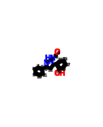 O=CNN1N=C(c2ccccc2)CC1c1ccccc1O